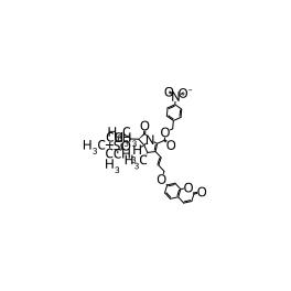 C[C@@H](O[Si](C)(C)C(C)(C)C)[C@H]1C(=O)N2C(C(=O)OCc3ccc([N+](=O)[O-])cc3)=C(/C=C/COc3ccc4ccc(=O)oc4c3)[C@H](C)[C@H]12